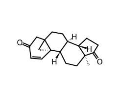 C[C@]12CC[C@H]3[C@@H](CCC45CC(=O)C=C[C@]34C5)[C@@H]1CCC2=O